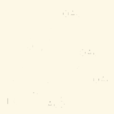 CC(=O)Oc1cc(OC(C)=O)cc([C@H]2c3c(OC(C)=O)cc(OC(C)=O)cc3C(=O)[C@H]2c2ccc(C)cc2)c1